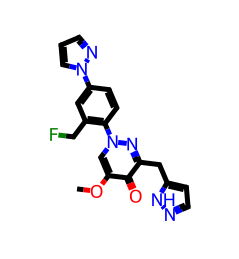 COc1cn(-c2ccc(-n3cccn3)cc2CF)nc(Cc2ccn[nH]2)c1=O